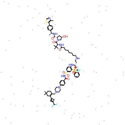 Cc1ncsc1-c1ccc([C@H](C)NC(=O)[C@@H]2C[C@@H](O)CN2C(=O)[C@@H](NC(=O)CCCCCCCN(C)CC[C@H](CSc2ccccc2)Nc2ccc(S(=O)(=O)NC(=O)c3ccc(N4CCN(CC5=C(C67CC(C(F)F)(C6)C7)CC(C)(C)CC5)CC4)cc3)cc2S(=O)(=O)C(F)(F)F)C(C)(C)C)cc1